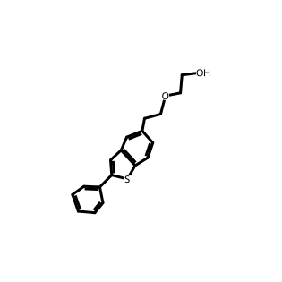 OCCOCCc1ccc2sc(-c3ccccc3)cc2c1